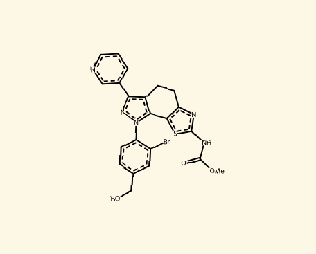 COC(=O)Nc1nc2c(s1)-c1c(c(-c3cccnc3)nn1-c1ccc(CO)cc1Br)CC2